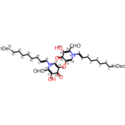 CCCCCCCCCCCCCCCCC=Cn1cc(Oc2cn(C=CCCCCCCCCCCCCCCCC)c(C=O)c(O)c2=O)c(=O)c(O)c1C=O